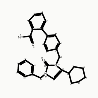 O=C(O)c1ccccc1-c1ccc(Cn2c(C3CCCCC3)cn(Cc3ccccc3)c2=O)cc1